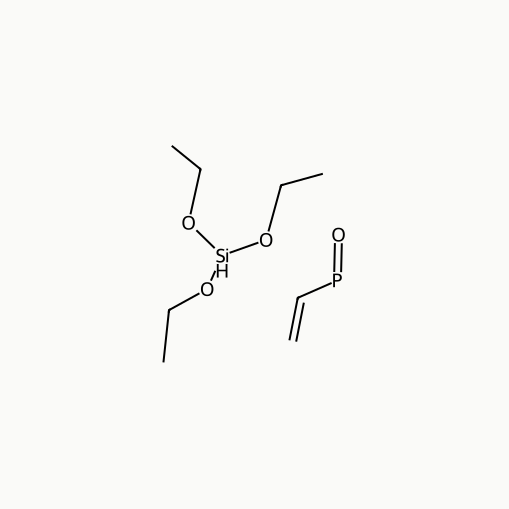 C=CP=O.CCO[SiH](OCC)OCC